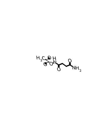 CS(=O)(=O)ONC(=O)CCC(N)=O